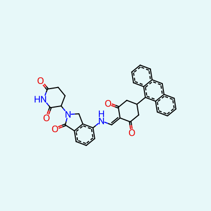 O=C1CCC(N2Cc3c(NC=C4C(=O)CC(c5c6ccccc6cc6ccccc56)CC4=O)cccc3C2=O)C(=O)N1